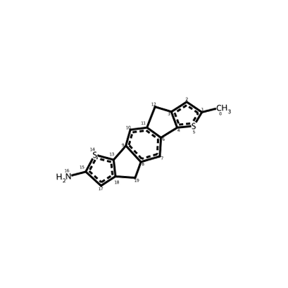 Cc1cc2c(s1)-c1cc3c(cc1C2)-c1sc(N)cc1C3